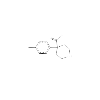 Cl.NC(=O)C1(c2ccc(Cl)cc2)CCNCC1